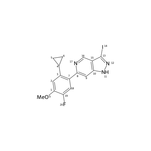 COc1cc(C2CC2)c(-c2cc3[nH]nc(I)c3cn2)cc1F